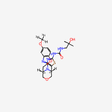 [2H]C([2H])([2H])Oc1ccc2oc(N3[C@@H]4COC[C@H]3c3sc(NC(=O)NCC(C)(C)O)nc3C4)nc2c1